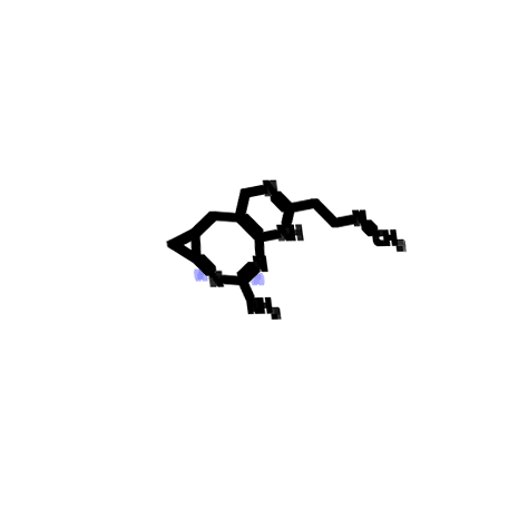 C=NCCC1=NCC2=C(/N=C(N)\N=C3\CC3C2)N1